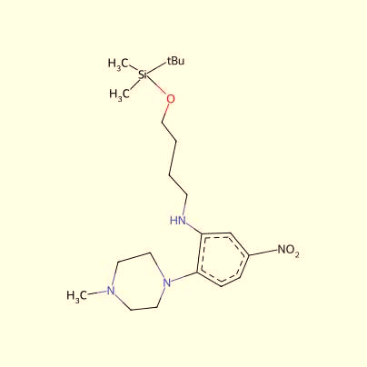 CN1CCN(c2ccc([N+](=O)[O-])cc2NCCCCO[Si](C)(C)C(C)(C)C)CC1